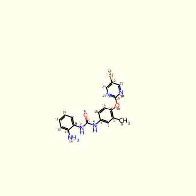 Cc1cc(NC(=O)Nc2ccccc2N)ccc1Oc1ncc(Br)cn1